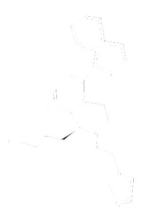 CCCC[C@H]1C(=S(=O)=O)N(C(=O)c2cccc3ccccc23)CCN1CCn1ccnc1